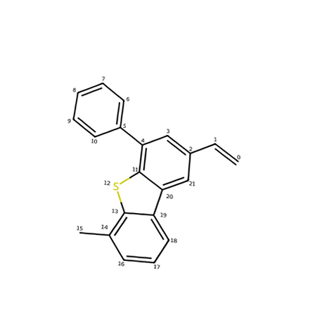 C=Cc1cc(-c2ccccc2)c2sc3c(C)cccc3c2c1